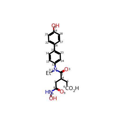 CCN(C(=O)C(CC(=O)O)CC(=O)NO)c1ccc(-c2ccc(O)cc2)cc1